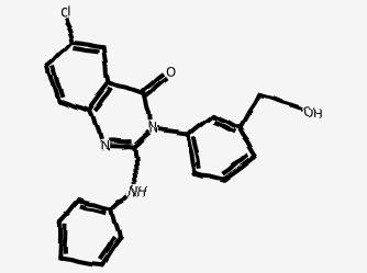 O=c1c2cc(Cl)ccc2nc(Nc2ccccc2)n1-c1cccc(CO)c1